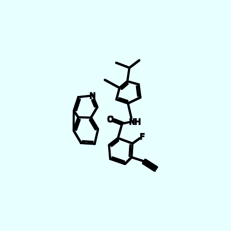 C#Cc1cccc(C(=O)Nc2ccc(C(C)C)c(C)c2)c1F.c1cc2c3c-2cncc3c1